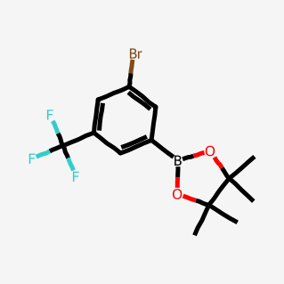 CC1(C)OB(c2cc(Br)cc(C(F)(F)F)c2)OC1(C)C